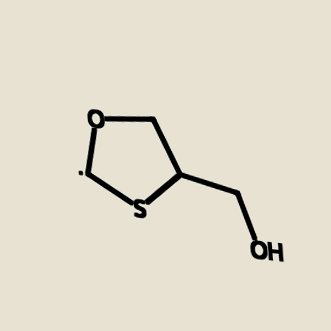 OCC1CO[CH]S1